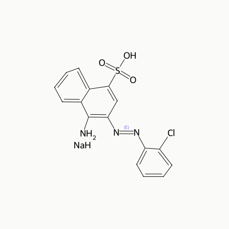 Nc1c(/N=N/c2ccccc2Cl)cc(S(=O)(=O)O)c2ccccc12.[NaH]